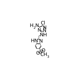 CS(=O)(=O)c1ccc2[nH]c(CNc3nnc(Cl)c(N)n3)nc2c1